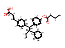 CCCC(=O)Oc1ccc(C(=C(CC)c2ccccc2)c2ccc(C=CC(=O)O)cc2)cc1